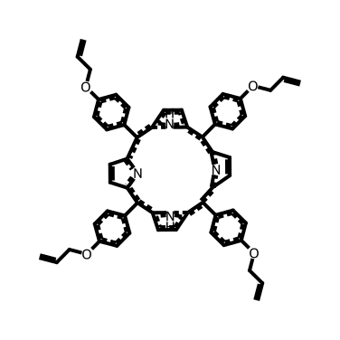 C=CCOc1ccc(-c2c3nc(c(-c4ccc(OCC=C)cc4)c4ccc([nH]4)c(-c4ccc(OCC=C)cc4)c4nc(c(-c5ccc(OCC=C)cc5)c5ccc2[nH]5)C=C4)C=C3)cc1